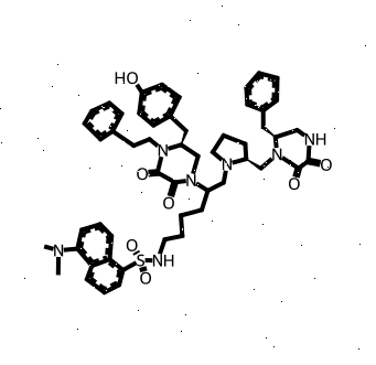 CN(C)c1cccc2c(S(=O)(=O)NCCCCC(CN3CCC[C@H]3CN3C(=O)C(=O)NC[C@@H]3Cc3ccccc3)N3C[C@H](Cc4ccc(O)cc4)N(CCc4ccccc4)C(=O)C3=O)cccc12